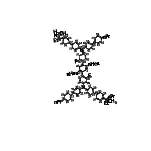 CCCCCCc1cc(-c2ccc(N(c3ccc(-c4ccc(CCC)cc4)cc3)c3ccc(-c4ccc(C(C)(CC)CCC)cc4)cc3)cc2F)c(CCCCCC)cc1-c1ccc(N(c2ccc(-c3ccc(CCC)cc3)cc2)c2ccc(-c3ccc(C(C)(N)CC)cc3)cc2)cc1F